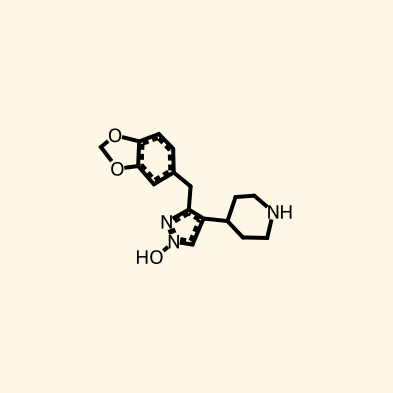 On1cc(C2CCNCC2)c(Cc2ccc3c(c2)OCO3)n1